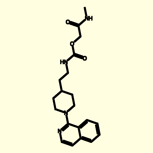 CNC(=O)COC(=O)NCCC1CCN(c2nccc3ccccc23)CC1